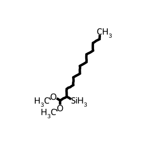 CCCCCCCCCCCC([SiH3])C(OC)OC